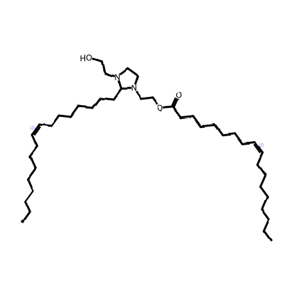 CCCCCCCC/C=C\CCCCCCCC(=O)OCCN1CCN(CCO)C1CCCCCCC/C=C\CCCCCCCC